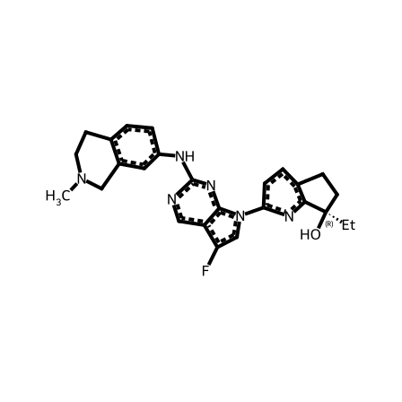 CC[C@@]1(O)CCc2ccc(-n3cc(F)c4cnc(Nc5ccc6c(c5)CN(C)CC6)nc43)nc21